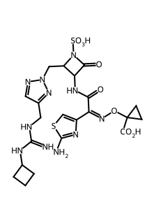 N=C(NCc1cnn(CC2C(NC(=O)/C(=N\OC3(C(=O)O)CC3)c3csc(N)n3)C(=O)N2S(=O)(=O)O)n1)NC1CCC1